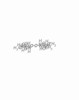 COC(=O)N[C@H](C(=O)N1CCC[C@H]1c1ncc(-c2ccc(-c3ccc4nc([C@@H]5CCCN5C(=O)[C@@H](NC(=O)OC)[C@@H](C)O)[nH]c4c3)cc2)[nH]1)[C@@H](C)O